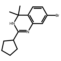 CC1(C)NC(C2CCCC2)=Nc2cc(Br)ccc21